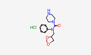 Cl.O=C(N1CCNCC1)N(CC1COCO1)c1ccccc1